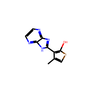 Cc1csc(O)c1-c1nc2nccnc2[nH]1